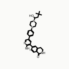 CC(C)(C)CC(O)N1CCN(c2ccc(-c3cnc(N)c(-c4ccc5c(c4)CCNC5=O)c3)cc2)CC1